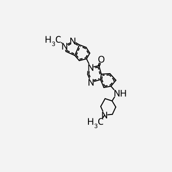 CN1CCC(Nc2ccc3c(=O)n(-c4ccc5nn(C)cc5c4)cnc3c2)CC1